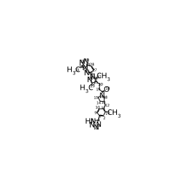 Cc1cc(-c2nnn[nH]2)ccc1CC1CCN(C(=O)CCc2c(C)nn(-c3ccc4nnc(C)n4n3)c2C)C1